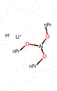 CCC[O][Al]([O]CCC)[O]CCC.[H-].[Li+]